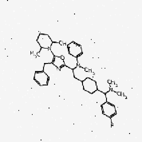 CC1CCCC(C)N1c1oc(C(CC2CCC(C(c3ccc(F)cc3)N(C)C)CC2)N(C)c2ccccc2)nc1Cc1ccccc1